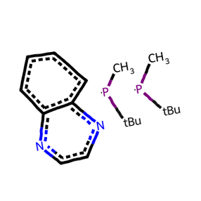 C[P]C(C)(C)C.C[P]C(C)(C)C.c1ccc2nccnc2c1